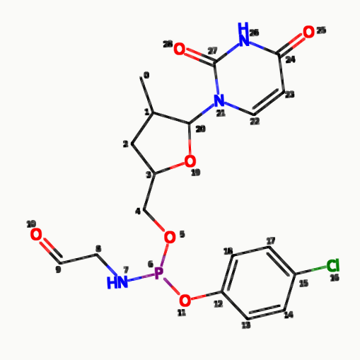 CC1CC(COP(NCC=O)Oc2ccc(Cl)cc2)OC1n1ccc(=O)[nH]c1=O